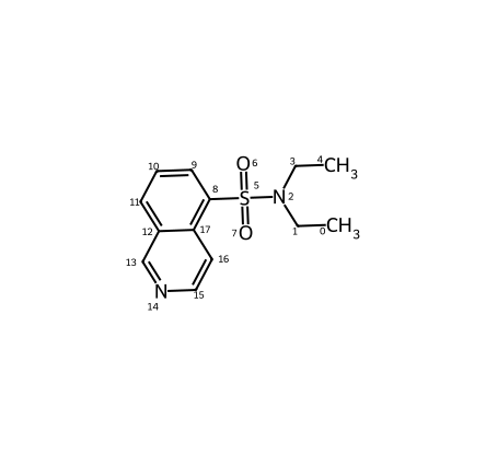 CCN(CC)S(=O)(=O)c1cccc2cnccc12